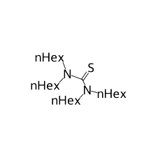 CCCCCCN(CCCCCC)C(=S)N(CCCCCC)CCCCCC